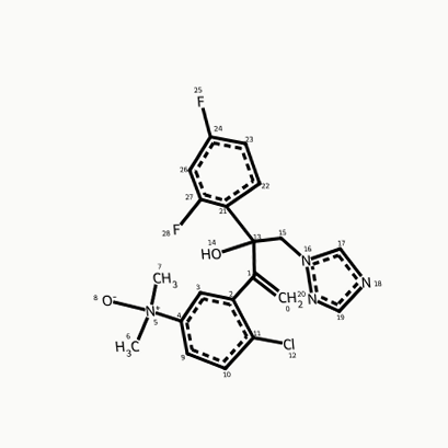 C=C(c1cc([N+](C)(C)[O-])ccc1Cl)C(O)(Cn1cncn1)c1ccc(F)cc1F